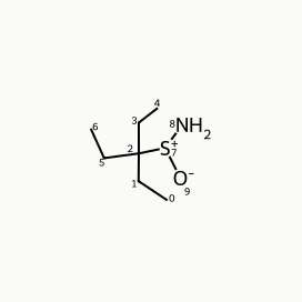 CCC(CC)(CC)[S+](N)[O-]